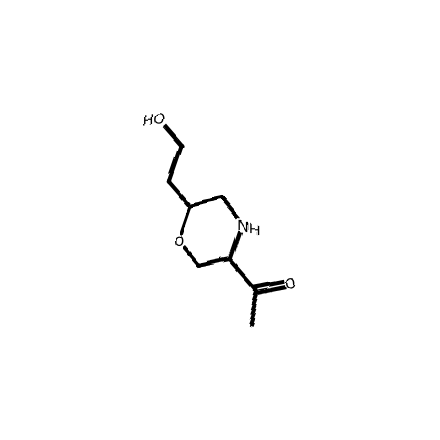 CC(=O)C1COC(CCO)CN1